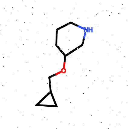 C1CNCC(OCC2CC2)C1